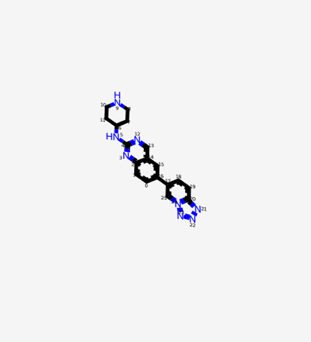 c1cc2nc(NC3CCNCC3)ncc2cc1-c1ccc2nnnn2c1